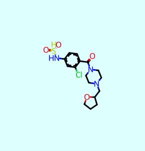 O=C(c1ccc(N[SH](=O)=O)cc1Cl)N1CCN(CC2CCCO2)CC1